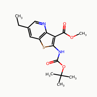 CCc1cnc2c(C(=O)OC)c(NC(=O)OC(C)(C)C)sc2c1